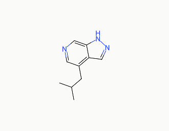 CC(C)Cc1cncc2[nH]ncc12